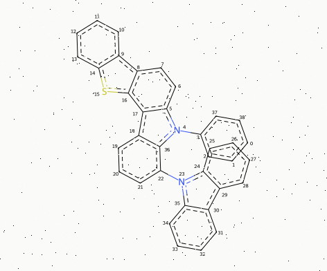 c1ccc(-n2c3ccc4c5ccccc5sc4c3c3cccc(-n4c5ccccc5c5ccccc54)c32)cc1